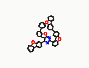 c1ccc(-c2cccc3c2oc2nc(-c4cccc5oc6ccc(-c7ccc8oc9ccccc9c8c7)cc6c45)nc(-c4ccc5c(c4)oc4ccccc45)c23)cc1